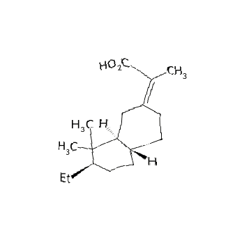 CC[C@@H]1CC[C@H]2CC/C(=C(\C)C(=O)O)C[C@@H]2C1(C)C